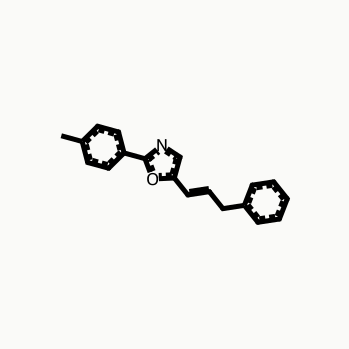 Cc1ccc(-c2ncc(/C=C/Cc3ccccc3)o2)cc1